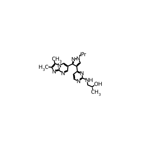 Cc1nc2ncc(-c3nn(C(C)C)cc3-c3ccnc(NC[C@H](C)O)n3)cn2c1C